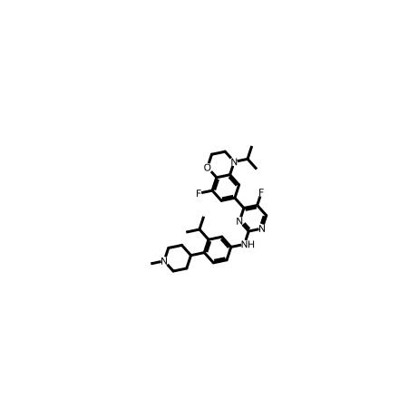 CC(C)c1cc(Nc2ncc(F)c(-c3cc(F)c4c(c3)N(C(C)C)CCO4)n2)ccc1C1CCN(C)CC1